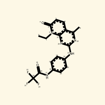 CCn1c(=O)ccc2c(C)nc(Nc3ccc(NC(=O)C(F)(F)F)cc3)nc21